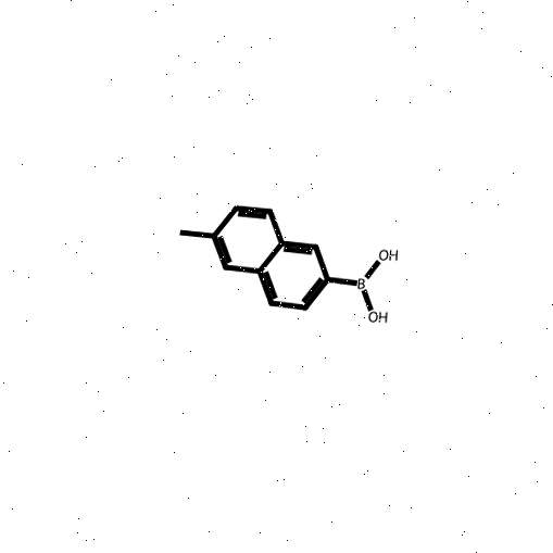 Cc1ccc2cc(B(O)O)ccc2c1